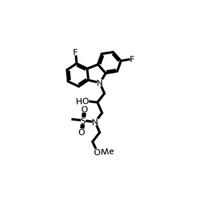 COCCN(CC(O)Cn1c2cc(F)ccc2c2c(F)cccc21)S(C)(=O)=O